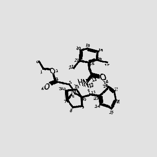 CCOC(=O)CN1C2CCC1([C@H](NC(=O)c1c(C)cccc1C)c1ccccc1)CC2